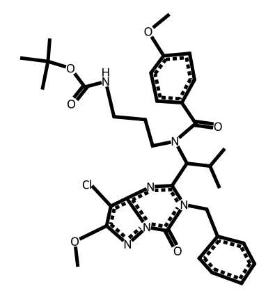 COc1ccc(C(=O)N(CCCNC(=O)OC(C)(C)C)C(c2nc3c(Cl)c(OC)nn3c(=O)n2Cc2ccccc2)C(C)C)cc1